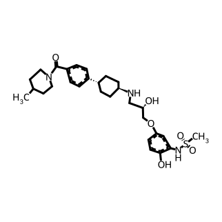 CC1CCN(C(=O)c2ccc([C@H]3CC[C@H](NC[C@H](O)COc4ccc(O)c(NS(C)(=O)=O)c4)CC3)cc2)CC1